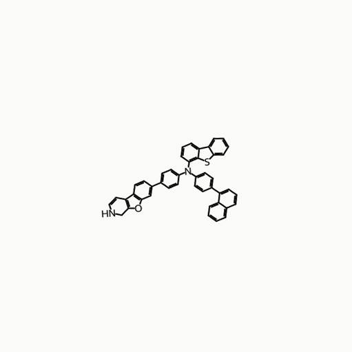 C1=Cc2c(oc3cc(-c4ccc(N(c5ccc(-c6cccc7ccccc67)cc5)c5cccc6c5sc5ccccc56)cc4)ccc23)CN1